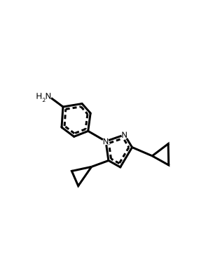 Nc1ccc(-n2nc(C3CC3)cc2C2CC2)cc1